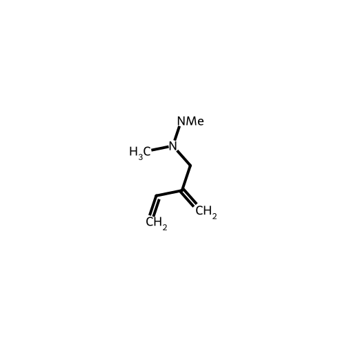 C=CC(=C)CN(C)NC